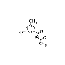 CC(=O)NC(=O)c1cc(C)cc(C)c1